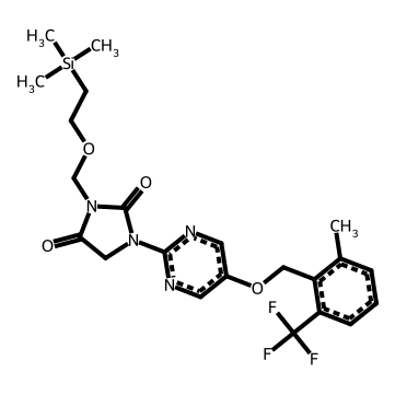 Cc1cccc(C(F)(F)F)c1COc1cnc(N2CC(=O)N(COCC[Si](C)(C)C)C2=O)nc1